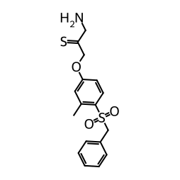 Cc1cc(OCC(=S)CN)ccc1S(=O)(=O)Cc1ccccc1